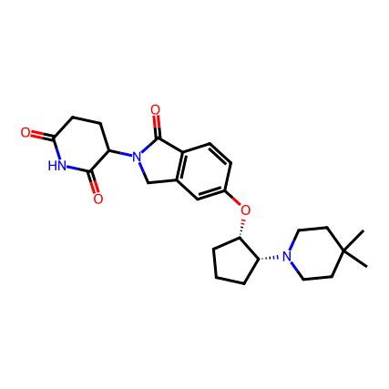 CC1(C)CCN([C@@H]2CCC[C@@H]2Oc2ccc3c(c2)CN(C2CCC(=O)NC2=O)C3=O)CC1